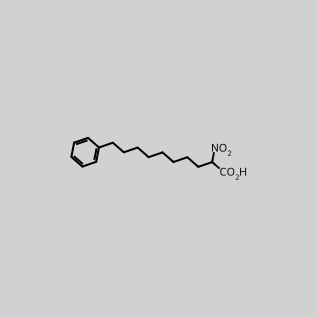 O=C(O)C(CCCCCCCCc1ccccc1)[N+](=O)[O-]